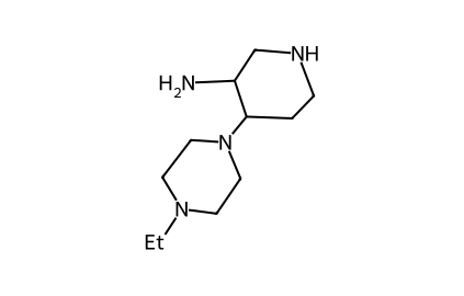 CCN1CCN(C2CCNCC2N)CC1